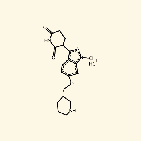 Cl.Cn1nc(C2CCC(=O)NC2=O)c2ccc(OC[C@H]3CCCNC3)cc21